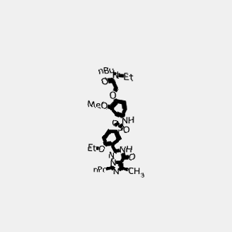 CCCCN(CC)C(=O)COc1ccc(NS(=O)(=O)c2ccc(OCC)c(-c3nn4c(CCC)nc(C)c4c(=O)[nH]3)c2)cc1OC